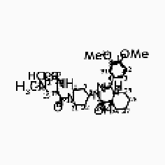 COc1ccc(C2=NN(C3CCN(C(=O)[C@H](CN(C)C)NC(=O)O)CC3)C(=O)[C@@H]3CCCC[C@H]23)cc1OC